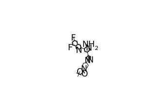 CC(C)(C)OC(=O)N1CCC(n2cc(-c3cnc(N)c(-c4cc5cc(F)cc(F)c5cn4)c3)cn2)CC1